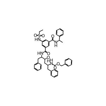 CCS(=O)(=O)Nc1cc(C(=O)NC(C)c2ccccc2)cc(C(=O)NC(Cc2ccccc2)C(O)CC(Cc2ccccc2)NC(=O)OCc2ccccc2)c1